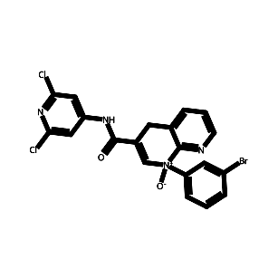 O=C(Nc1cc(Cl)nc(Cl)c1)C1=C[N+]([O-])(c2cccc(Br)c2)c2ncccc2C1